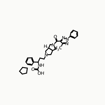 C1CCCC1.Cc1nn(-c2ccccc2)nc1C(=O)N1CC2CN(CCC(NC(=O)O)c3ccccc3)C[C@H]2C1